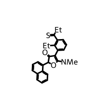 CCC(=S)c1cccc(C2=C(NC)OC(c3cccc4ccccc34)C2=O)c1CC